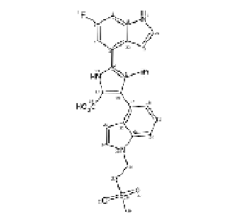 CC(C)c1c(-c2cc(F)cc3[nH]ccc23)[nH]c(C(=O)O)c1-c1cccc2c1ccn2CCS(C)(=O)=O